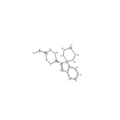 CSN1CCN(C(=O)C2(c3ccccc3)CCOCC2)CC1